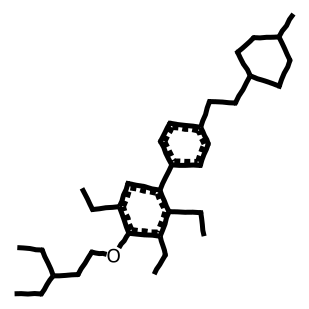 CCc1cc(-c2ccc(CCC3CCC(C)CC3)cc2)c(CC)c(CC)c1OCCC(CC)CC